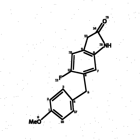 COc1ccc(Cc2cc3c(cc2F)CC(=O)N3)cc1